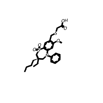 CCCC[C@]1(CC)CN(c2ccccc2)c2cc(OC)c(CSCC(=O)O)cc2S(=O)(=O)C1